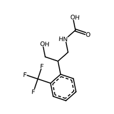 O=C(O)NCC(CO)c1ccccc1C(F)(F)F